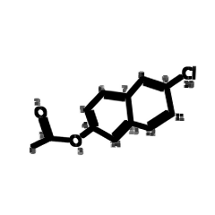 CC(=O)Oc1ccc2cc(Cl)ccc2c1